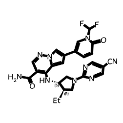 CC[C@@H]1CN(c2ncc(C#N)cn2)C[C@H]1Nc1c(C(N)=O)cnn2cc(-c3ccc(=O)n(C(F)F)c3)cc12